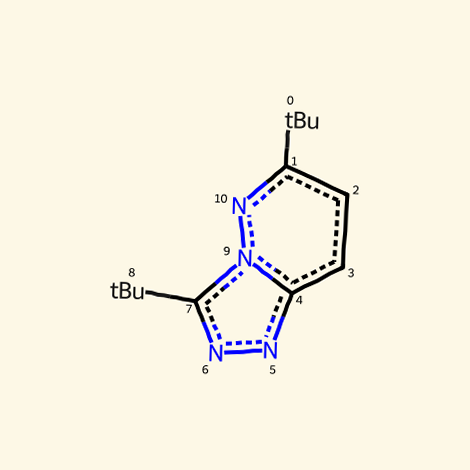 CC(C)(C)c1ccc2nnc(C(C)(C)C)n2n1